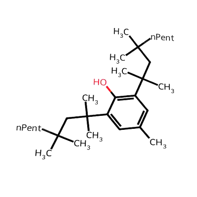 CCCCCC(C)(C)CC(C)(C)c1cc(C)cc(C(C)(C)CC(C)(C)CCCCC)c1O